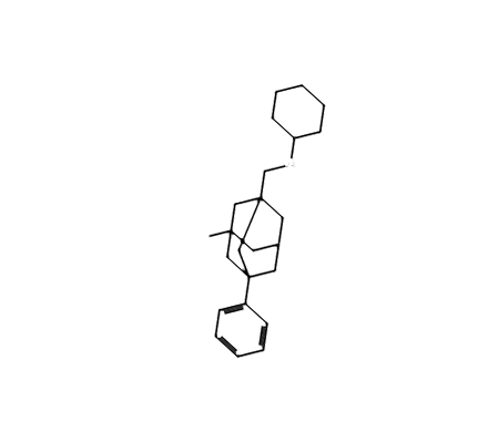 CCC12CC3CC(CNC4CCCCC4)(C1)CC(c1ccccc1)(C3)C2